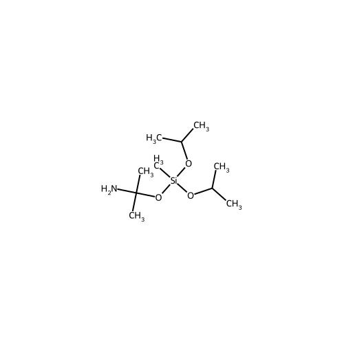 CC(C)O[Si](C)(OC(C)C)OC(C)(C)N